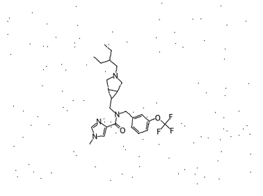 CCC(CC)CN1CC2C(C1)C2CN(Cc1cccc(OC(F)(F)F)c1)C(=O)c1cn(C)cn1